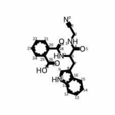 N#CCNC(=O)C(Cc1c[nH]c2ccccc12)NC(=O)c1ccccc1C(=O)O